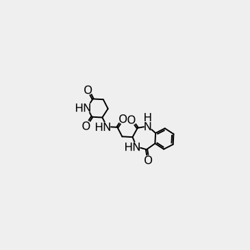 O=C1CCC(NC(=O)CC2NC(=O)c3ccccc3NC2=O)C(=O)N1